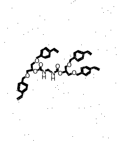 C=Cc1ccc(COCC(COCc2ccc(C=C)cc2)OC(=O)NCNC(=O)OC(COCc2ccc(C=C)cc2)COCc2ccc(C=C)cc2)cc1